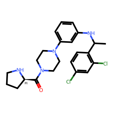 CC(Nc1cccc(N2CCN(C(=O)[C@H]3CCCN3)CC2)c1)c1ccc(Cl)cc1Cl